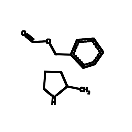 CC1CCCN1.O=COCc1ccccc1